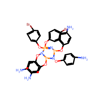 Nc1ccc(ON2P(Oc3ccc(N)cc3)N=P(Oc3ccc(Br)cc3)(Oc3ccc(Br)cc3)N(Oc3ccc(N)cc3)P2Oc2ccc(N)cc2)cc1